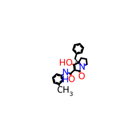 Cc1cccc(NC(=O)C2=C(O)[C@]3(Cc4ccccc4)CCCN3C2=O)c1